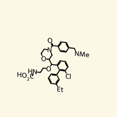 CCc1cccc(-c2c(Cl)cccc2C(OCCNC(=O)O)C2CN(C(=O)c3ccc(CNC)cc3)CCO2)c1